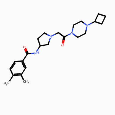 Cc1ccc(C(=O)NC2CCN(CC(=O)N3CCN(C4CCC4)CC3)C2)cc1C